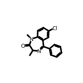 CC1N=C(c2ccccc2)c2cc(Cl)ccc2N(C)C1=O